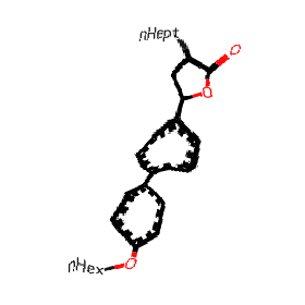 CCCCCCCC1CC(c2ccc(-c3ccc(OCCCCCC)cc3)cc2)OC1=O